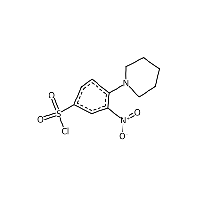 O=[N+]([O-])c1cc(S(=O)(=O)Cl)ccc1N1CCCCC1